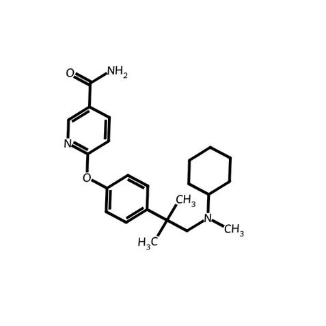 CN(CC(C)(C)c1ccc(Oc2ccc(C(N)=O)cn2)cc1)C1CCCCC1